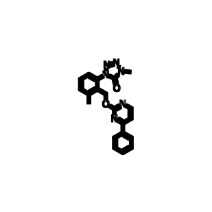 Cc1cccc(-n2nnn(C)c2=O)c1COc1nccc(-c2ccccc2)n1